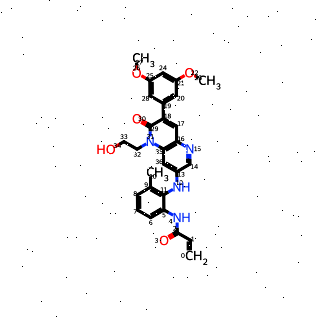 C=CC(=O)Nc1cccc(C)c1Nc1cnc2cc(-c3cc(OC)cc(OC)c3)c(=O)n(CCO)c2c1